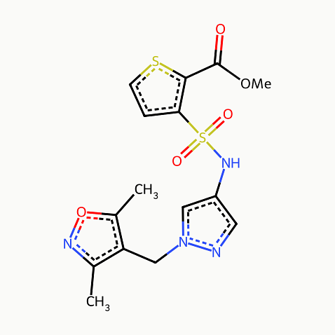 COC(=O)c1sccc1S(=O)(=O)Nc1cnn(Cc2c(C)noc2C)c1